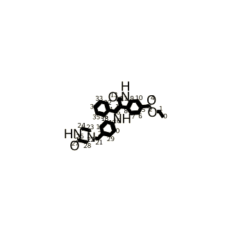 CCOC(=O)c1ccc2c(c1)NC(=O)C2=C(Nc1ccc(CN2CCNC(=O)C2)cc1)c1ccccc1